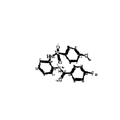 COc1ccc(S(=O)(=O)Nc2ccccc2NC(=O)c2ccc(F)cc2)cc1